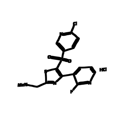 CNCc1nc(-c2cccnc2F)c(S(=O)(=O)c2ccc(Cl)nc2)s1.Cl